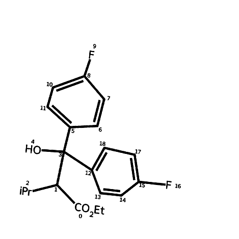 CCOC(=O)C(C(C)C)C(O)(c1ccc(F)cc1)c1ccc(F)cc1